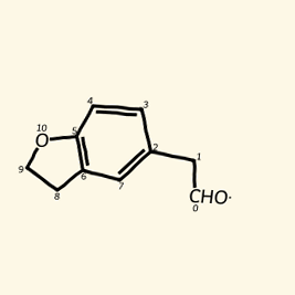 O=[C]Cc1ccc2c(c1)CCO2